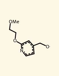 COCCOc1cc(C[O])ccn1